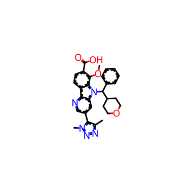 COc1c(C(=O)O)ccc2c3ncc(-c4c(C)nnn4C)cc3n(C(c3ccccc3)C3CCOCC3)c12